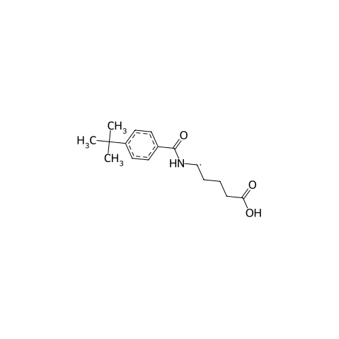 CC(C)(C)c1ccc(C(=O)N[CH]CCCC(=O)O)cc1